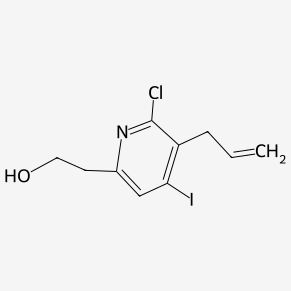 C=CCc1c(I)cc(CCO)nc1Cl